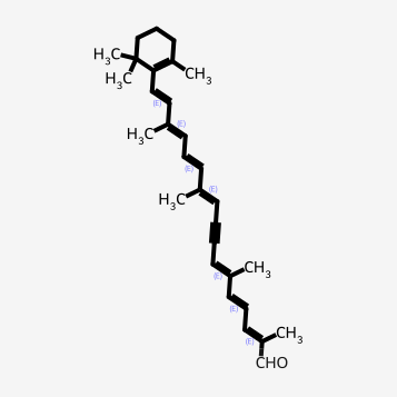 CC1=C(/C=C/C(C)=C/C=C/C(C)=C/C#C/C=C(C)/C=C/C=C(\C)C=O)C(C)(C)CCC1